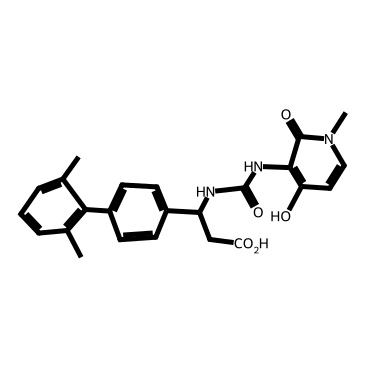 Cc1cccc(C)c1-c1ccc(C(CC(=O)O)NC(=O)Nc2c(O)ccn(C)c2=O)cc1